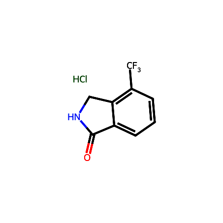 Cl.O=C1NCc2c1cccc2C(F)(F)F